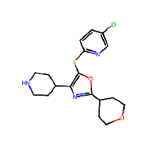 Clc1ccc(Sc2oc(C3CCOCC3)nc2C2CCNCC2)nc1